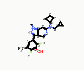 Cn1nc(-c2cc(C(F)(F)F)c(F)c(O)c2F)c2cnc(N(CC3CC3)C3CCC3)cc21